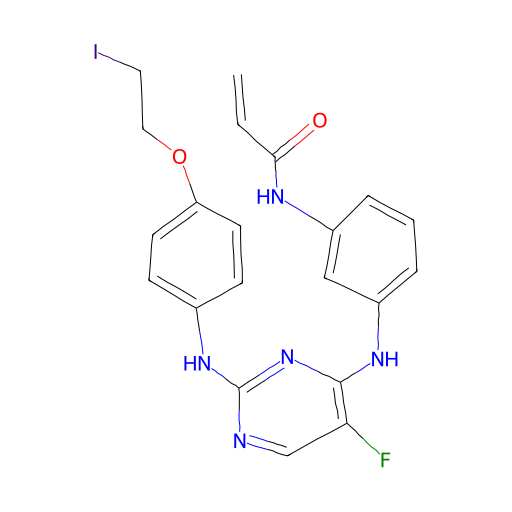 C=CC(=O)Nc1cccc(Nc2nc(Nc3ccc(OCCI)cc3)ncc2F)c1